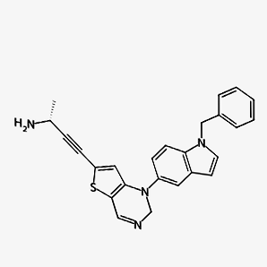 C[C@@H](N)C#Cc1cc2c(s1)C=NCN2c1ccc2c(ccn2Cc2ccccc2)c1